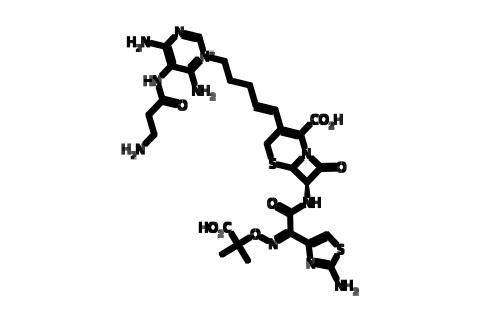 CC(C)(O/N=C(\C(=O)N[C@@H]1C(=O)N2C(C(=O)O)=C(/C=C/CCC[n+]3cnc(N)c(NC(=O)CCN)c3N)CSC12)c1csc(N)n1)C(=O)O